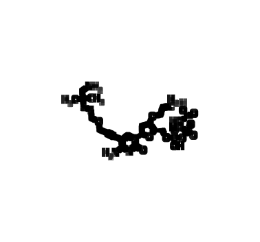 C=CCOC1C[C@H](n2cc(C#CCOCSSC(C)(C)CN)c(N)nc2=O)O[C@@H]1COP(=O)(O)OP(=O)(O)OP(=O)(O)O